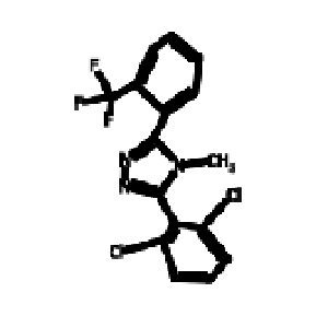 Cn1c(-c2ccccc2C(F)(F)F)nnc1-c1c(Cl)cccc1Cl